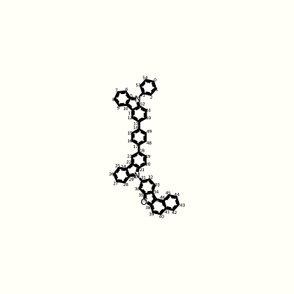 c1ccc(-n2c3ccccc3c3cc(-c4ccc(-c5ccc6c(c5)c5ccccc5n6-c5ccc6c(c5)oc5ccc7ccccc7c56)cc4)ccc32)cc1